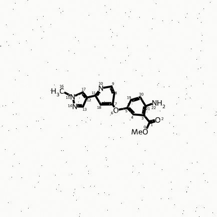 COC(=O)c1cc(Oc2ccnc(-c3cnn(C)c3)c2)ccc1N